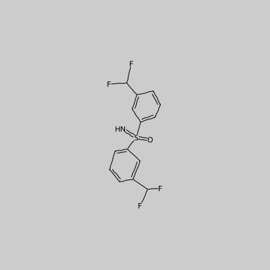 N=S(=O)(c1cccc(C(F)F)c1)c1cccc(C(F)F)c1